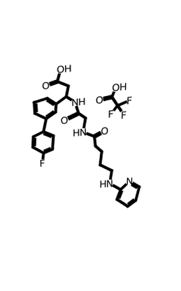 O=C(O)C(F)(F)F.O=C(O)CC(NC(=O)CNC(=O)CCCCNc1ccccn1)c1cccc(-c2ccc(F)cc2)c1